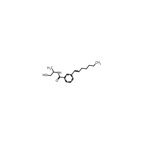 CCCCCC=Cc1cccc(C(=O)NC(C)CO)c1